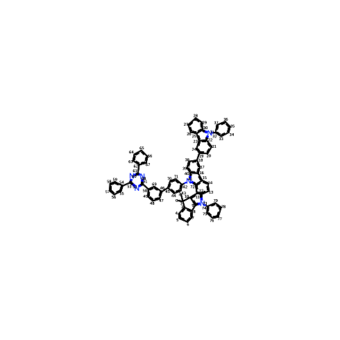 CC1(C)c2ccccc2-c2c1c1c(ccc3c4cc(-c5ccc6c(c5)c5ccccc5n6-c5ccccc5)ccc4n(-c4ccc(-c5cccc(-c6nc(-c7ccccc7)nc(-c7ccccc7)n6)c5)cc4)c31)n2-c1ccccc1